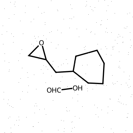 C1CCC(CC2CO2)CC1.O=CO